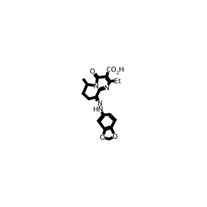 CCc1nc2n(c(=O)c1C(=O)O)C(C)CCC2=NNc1ccc2c(c1)OCO2